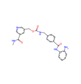 CNC(=O)c1cncc(COC(=O)NCc2ccc(C(=O)Nc3ccccc3N)cc2)c1